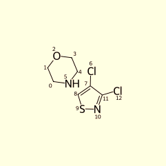 C1COCCN1.Clc1csnc1Cl